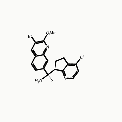 CCc1cc2ccc([C@](C)(N)[C@H]3CCc4c(Cl)ccnc43)cc2nc1OC